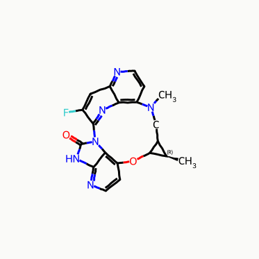 C[C@@H]1C2CN(C)c3ccnc4cc(F)c(nc34)-n3c(=O)[nH]c4nccc(c43)OC21